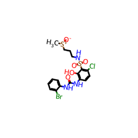 C[S+]([O-])CCCNS(=O)(=O)c1c(Cl)ccc(NC(=O)Nc2ccccc2Br)c1O